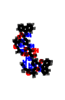 CN[C@@H](C)C(=O)N[C@H](C(=O)N1C[C@@H](NC(=O)[C@H](O)[C@@H](O)C(=O)N[C@H]2C[C@@H](C(=O)NC3c4ccccc4-c4ccccc43)N(C(=O)[C@@H](NC(=O)[C@H](C)NC)C(C)(C)C)C2)C[C@H]1C(=O)NC1c2ccccc2-c2ccccc21)C(C)(C)C